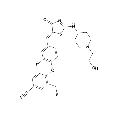 N#Cc1ccc(Oc2ccc(/C=C3\SC(NC4CCN(CCO)CC4)=NC3=O)cc2F)c(CF)c1